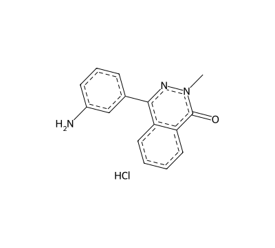 Cl.Cn1nc(-c2cccc(N)c2)c2ccccc2c1=O